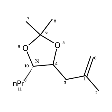 C=C(C)CC1OC(C)(C)O[C@H]1CCC